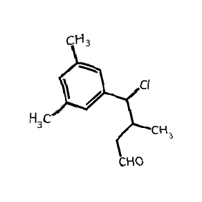 Cc1cc(C)cc(C(Cl)C(C)CC=O)c1